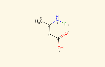 CC(CC(=O)O)NF